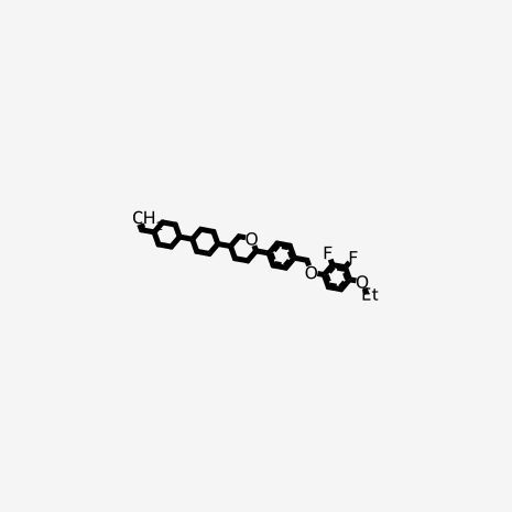 C=CC1CCC(C2CCC(C3CCC(c4ccc(COc5ccc(OCC)c(F)c5F)cc4)OC3)CC2)CC1